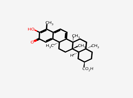 CC1=C(O)C(=O)C=C2C1=CC=C1[C@@]2(C)CC[C@@]2(C)[C@@H]3C[C@H](C(=O)O)CC[C@]3(C)CC[C@]12C